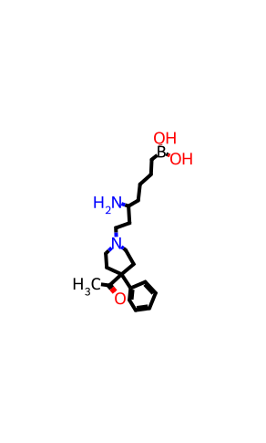 CC(=O)C1(c2ccccc2)CCN(CCC(N)CCCCB(O)O)CC1